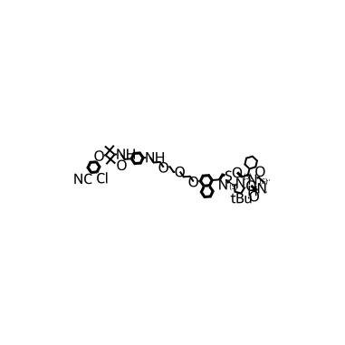 C[C@@H](C(=O)N[C@H](C(=O)N1CCC[C@H]1c1nc(-c2ccc(OCCOCCOCCNc3ccc(C(=O)NC4C(C)(C)C(Oc5ccc(C#N)c(Cl)c5)C4(C)C)cc3)c3ccccc23)cs1)C1CCCCC1)N(C)C(=O)OC(C)(C)C